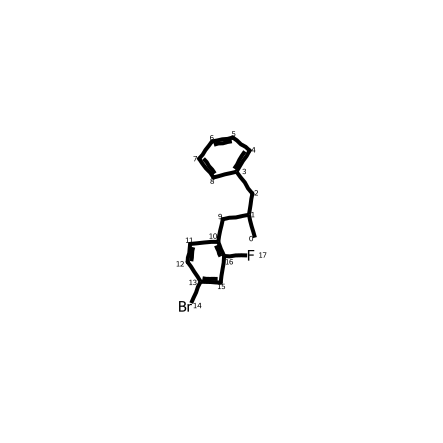 CC(Cc1ccccc1)Cc1ccc(Br)cc1F